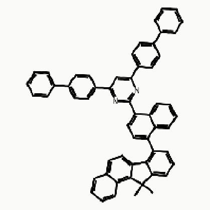 CC1(C)c2cccc(-c3ccc(-c4nc(-c5ccc(-c6ccccc6)cc5)cc(-c5ccc(-c6ccccc6)cc5)n4)c4ccccc34)c2-c2ccc3ccccc3c21